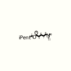 CCCC(C)COC(=O)CCCCN(C)C